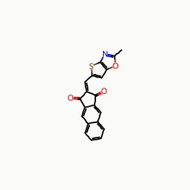 Cc1nc2sc(C=C3C(=O)c4cc5ccccc5cc4C3=O)cc2o1